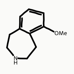 COc1cccc2c1CCNCC2